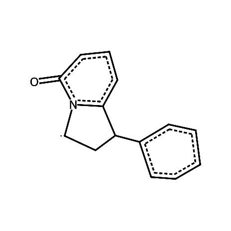 O=c1cccc2n1[CH]CC2c1ccccc1